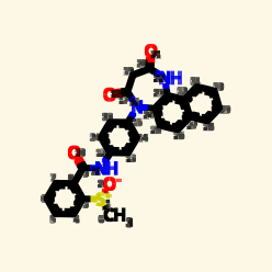 C[S+]([O-])c1ccccc1C(=O)Nc1ccc(N2C(=O)CC(=O)Nc3c2ccc2ccccc32)cc1